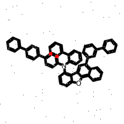 c1ccc(-c2ccc(-c3ccc(N(c4ccccc4-c4ccccc4)c4cccc5oc6c7ccccc7c(-c7cccc(-c8ccccc8)c7)cc6c45)cc3)cc2)cc1